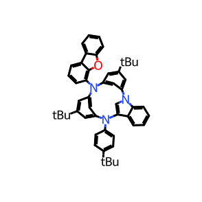 CC(C)(C)c1ccc(-n2c3cc(C(C)(C)C)cc(c3)n(-c3cccc4c3oc3ccccc34)c3cc(C(C)(C)C)cc(c3)n3cc2c2ccccc23)cc1